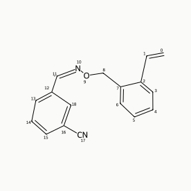 C=Cc1ccccc1CO/N=[C]\c1cccc(C#N)c1